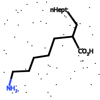 CCCCCCCCC(CCCCCN)C(=O)O